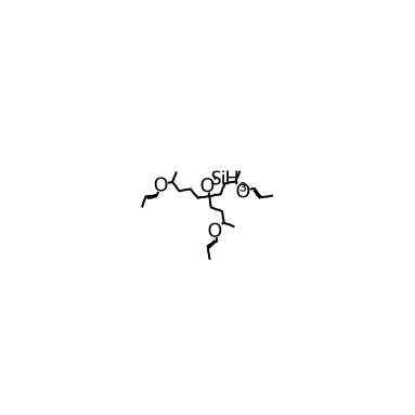 CC=COC(C)CCCC(CCC(C)OC=CC)(CCC(C)OC=CC)O[SiH3]